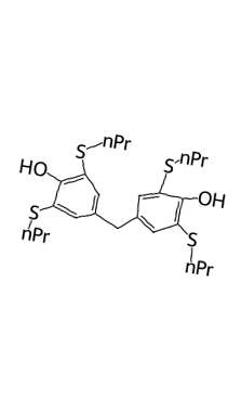 CCCSc1cc(Cc2cc(SCCC)c(O)c(SCCC)c2)cc(SCCC)c1O